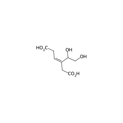 O=C(O)CC=C(CC(=O)O)C(O)CO